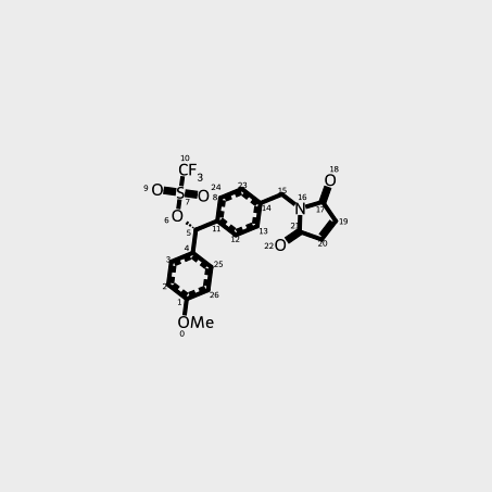 COc1ccc([C@H](OS(=O)(=O)C(F)(F)F)c2ccc(CN3C(=O)C=CC3=O)cc2)cc1